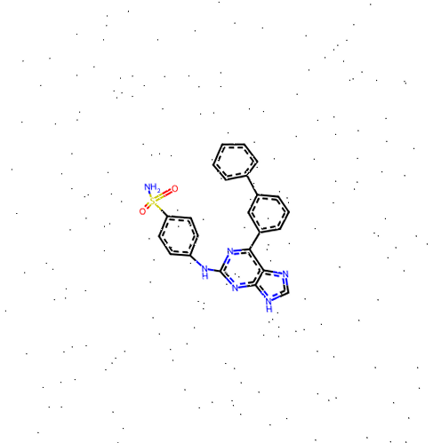 NS(=O)(=O)c1ccc(Nc2nc(-c3cccc(-c4ccccc4)c3)c3nc[nH]c3n2)cc1